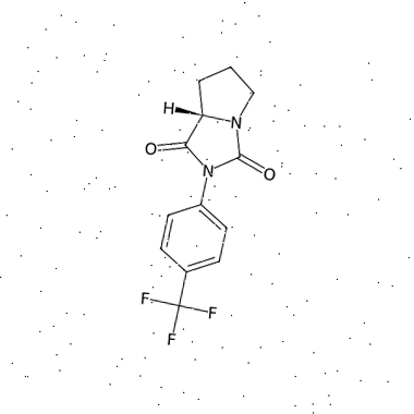 O=C1[C@@H]2CCCN2C(=O)N1c1ccc(C(F)(F)F)cc1